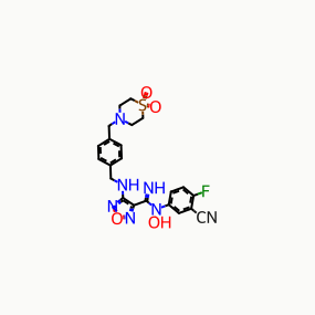 N#Cc1cc(N(O)C(=N)c2nonc2NCc2ccc(CN3CCS(=O)(=O)CC3)cc2)ccc1F